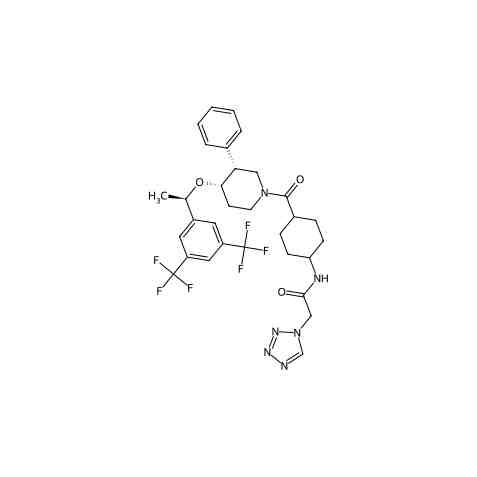 C[C@@H](O[C@H]1CCN(C(=O)C2CCC(NC(=O)Cn3cnnn3)CC2)C[C@H]1c1ccccc1)c1cc(C(F)(F)F)cc(C(F)(F)F)c1